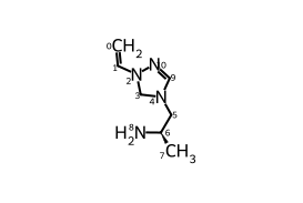 C=CN1CN(C[C@@H](C)N)C=N1